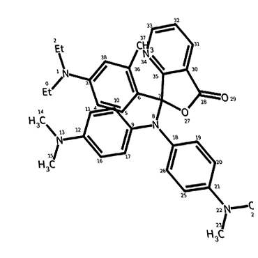 CCN(CC)c1ccc(C2(N(c3ccc(N(C)C)cc3)c3ccc(N(C)C)cc3)OC(=O)c3cccnc32)c(C)c1